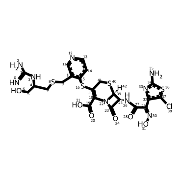 N=C(N)NC(CO)CSCc1cnccc1SC1=C(C(=O)O)N2C(=O)[C@@H](NC(=O)/C(=N\O)c3nc(N)sc3Cl)[C@@H]2SC1